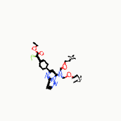 CCOC(=O)C(F)=C1CCC(c2cc(N(COCC[Si](C)(C)C)COCC[Si](C)(C)C)n3nccc3n2)CC1